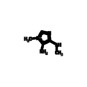 CNc1ncn(C)c1N